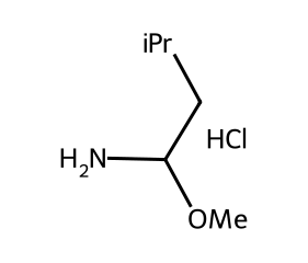 COC(N)CC(C)C.Cl